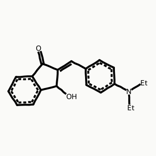 CCN(CC)c1ccc(C=C2C(=O)c3ccccc3C2O)cc1